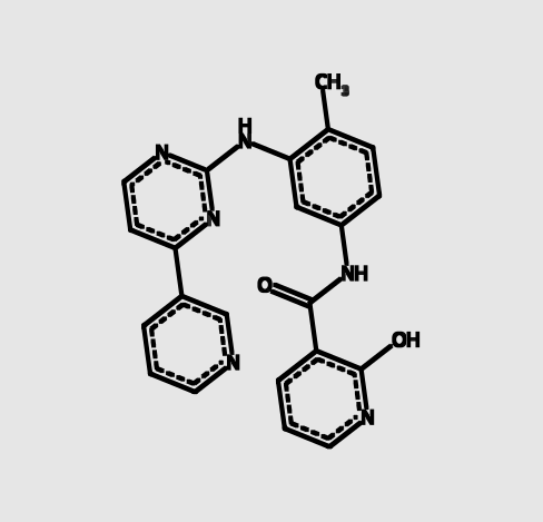 Cc1ccc(NC(=O)c2cccnc2O)cc1Nc1nccc(-c2cccnc2)n1